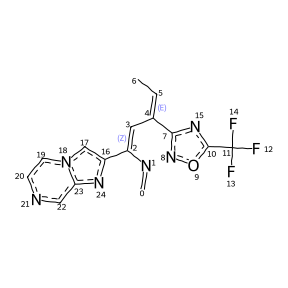 C=N/C(=C\C(=C/C)c1noc(C(F)(F)F)n1)c1cn2ccncc2n1